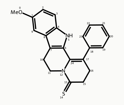 COc1ccc2[nH]c3c(c2c1)CCN1C(=S)CCC(c2ccccc2)=C31